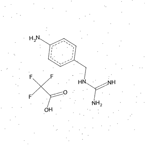 N=C(N)NCc1ccc(N)cc1.O=C(O)C(F)(F)F